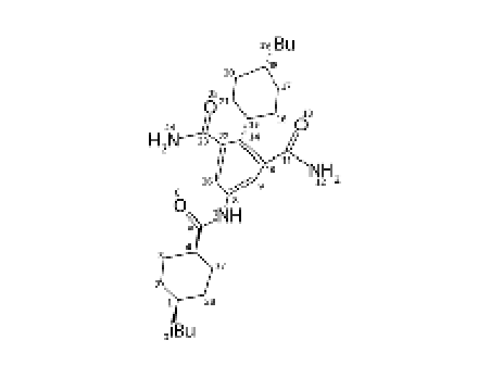 CCC(C)[C@H]1CC[C@@H](C(=O)Nc2cc(C(N)=O)c([C@H]3CC[C@@H](C(C)CC)CC3)c(C(N)=O)c2)CC1